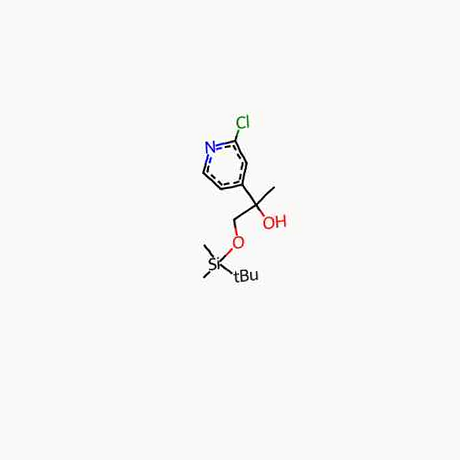 CC(O)(CO[Si](C)(C)C(C)(C)C)c1ccnc(Cl)c1